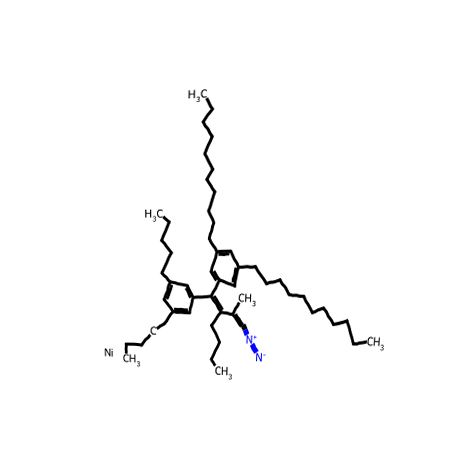 CCCCCCCCCCCc1cc(CCCCCCCCCCC)cc(C(=C(CCCC)C(C)=C=[N+]=[N-])c2cc(CCCCC)cc(CCCCC)c2)c1.[Ni]